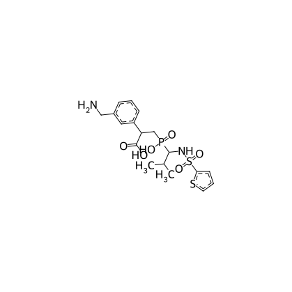 CC(C)C(NS(=O)(=O)c1cccs1)P(=O)(O)CC(C(=O)O)c1cccc(CN)c1